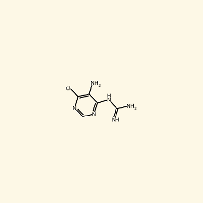 N=C(N)Nc1ncnc(Cl)c1N